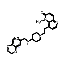 C=C(/C=C1/OCCO/C1=C/N)CNC1CCN(CCc2ccnc3ccc(=O)n(C)c23)CC1